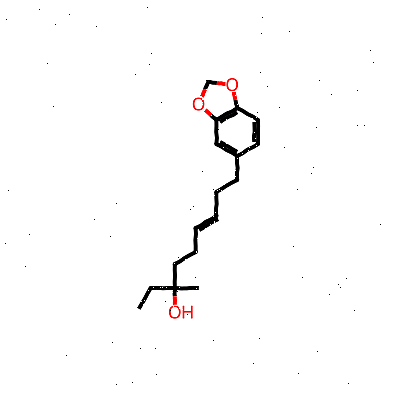 CCC(C)(O)CC/C=C/CCc1ccc2c(c1)OCO2